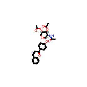 CC(=O)N[C@@H]1[C@H](Oc2ccc(C(=O)/C=C\c3ccccc3)cc2)OC[C@@H](OC(C)=O)[C@H]1OC(C)=O